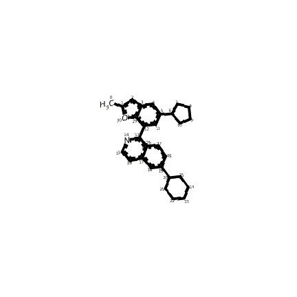 Cc1cc2cc(C3CCCC3)cc(-c3nccc4cc(C5CCCCC5)ccc34)c2o1